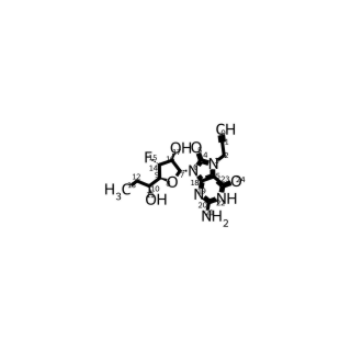 C#CCn1c(=O)n([C@@H]2O[C@@H]([C@@H](O)CC)[C@H](F)[C@H]2O)c2nc(N)[nH]c(=O)c21